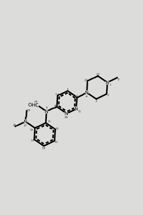 CN1CCN(c2ccc(N(C=O)c3ccccc3N(C)C)nn2)CC1